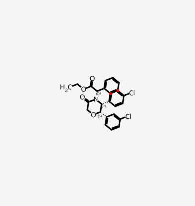 CCOC(=O)[C@H](c1ccccc1)N1C(=O)CO[C@@H](c2cccc(Cl)c2)[C@H]1c1ccc(Cl)cc1